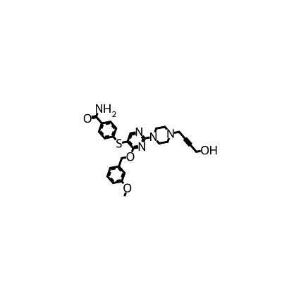 COc1cccc(COc2nc(N3CCN(CC#CCO)CC3)ncc2Sc2ccc(C(N)=O)cc2)c1